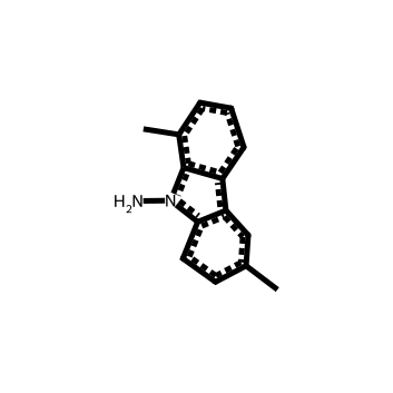 Cc1ccc2c(c1)c1cccc(C)c1n2N